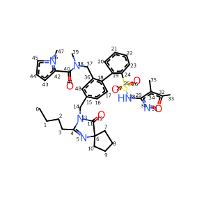 CCCCC1=NC2(CCCC2)C(=O)N1Cc1ccc(-c2ccccc2S(=O)(=O)Nc2noc(C)c2C)c(CN(C)C(=O)c2cccn2C)c1